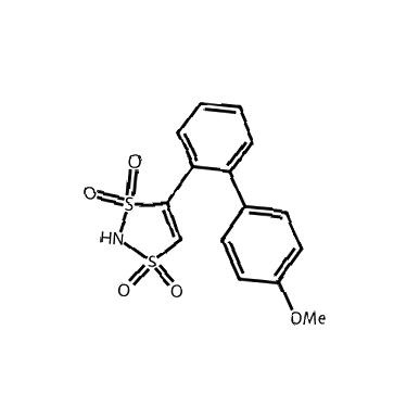 COc1ccc(-c2ccccc2C2=CS(=O)(=O)NS2(=O)=O)cc1